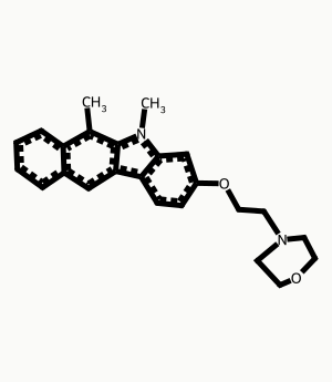 Cc1c2ccccc2cc2c3ccc(OCCN4CCOCC4)cc3n(C)c12